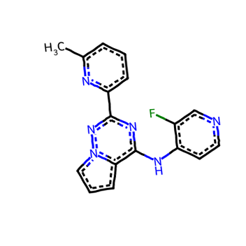 Cc1cccc(-c2nc(Nc3ccncc3F)c3cccn3n2)n1